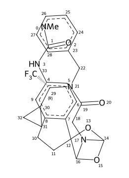 CNC(=O)Nc1ccc2c(c1)CCC21OC2OC1N2CC(=O)N(Cc1ccccc1)[C@H](C1CC1)C(F)(F)F